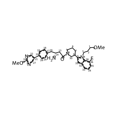 COCCCn1c(C2CCCN(C(=O)C[C@H](N)Cc3ccc(-c4cnc(OC)nc4)cc3)C2)cc2cccc(F)c21